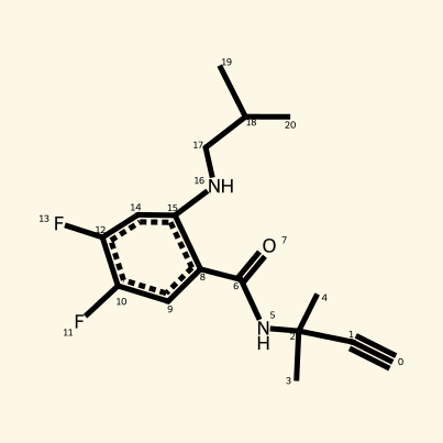 C#CC(C)(C)NC(=O)c1cc(F)c(F)cc1NCC(C)C